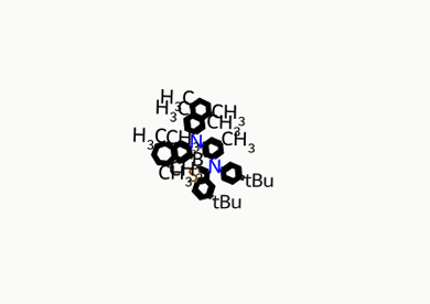 Cc1cc2c3c(c1)N(c1ccc(C(C)(C)C)cc1)c1c(sc4ccc(C(C)(C)C)cc14)B3c1cc3c(cc1N2c1ccc2c(c1)C(C)(C)CCC2(C)C)C(C)(C)CCCC3(C)C